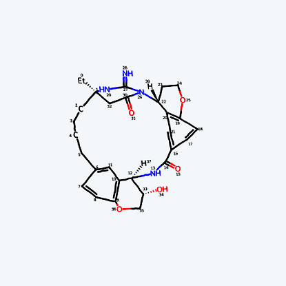 CC[C@]12CCCCc3ccc4c(c3)[C@@H](NC(=O)c3ccc5c(c3)[C@@H](CCO5)N(C(=N)N1)C(=O)C2)[C@H](O)CO4